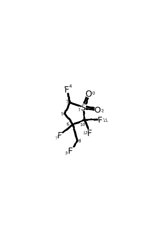 O=S1(=O)C(F)CC(F)(CF)C1(F)F